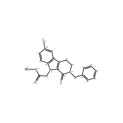 CC(C)(C)OC(=O)Cn1c2c(c3cc(Cl)ccc31)CCN(Cc1ccccc1)C2=S